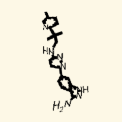 Cc1ccc(C(C)(C)CNc2ccc(-c3ccc4c(N)n[nH]c4c3)nn2)nc1